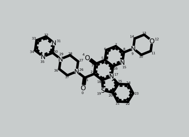 O=C(c1c(=O)c2ccc(N3CCOCC3)nc2n2c1sc1ccccc12)N1CCN(c2ncccn2)CC1